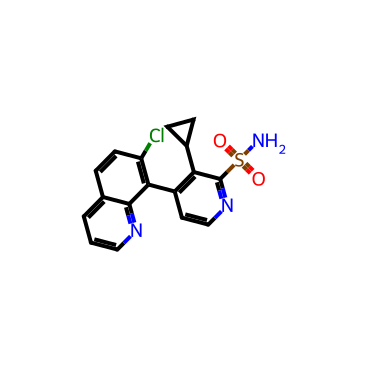 NS(=O)(=O)c1nccc(-c2c(Cl)ccc3cccnc23)c1C1CC1